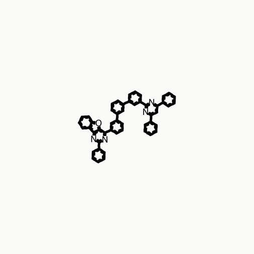 c1ccc(-c2cc(-c3ccccc3)nc(-c3cccc(-c4cccc(-c5cccc(-c6nc(-c7ccccc7)nc7c6oc6ccccc67)c5)c4)c3)n2)cc1